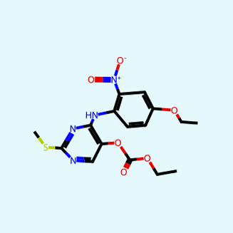 CCOC(=O)Oc1cnc(SC)nc1Nc1ccc(OCC)cc1[N+](=O)[O-]